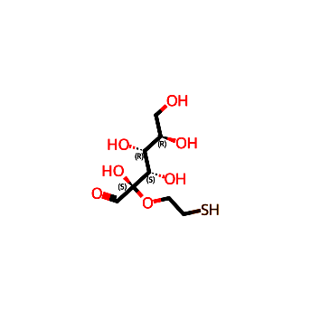 O=C[C@@](O)(OCCS)[C@@H](O)[C@H](O)[C@H](O)CO